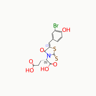 O=C(O)CC[C@@H](C(=O)O)N1C(=O)/C(=C/c2ccc(O)c(Br)c2)SC1=S